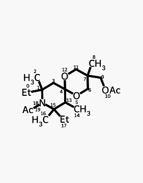 CCC1(C)CC2(OCC(C)(COC(C)=O)CO2)C(C)C(C)(CC)N1C(C)=O